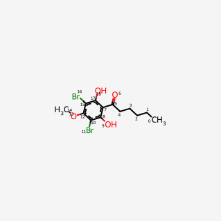 CCCCCC(=O)c1c(O)c(Br)c(OC)c(Br)c1O